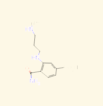 CCCNCCCNc1cc(C(=O)O)ccc1C(N)=O